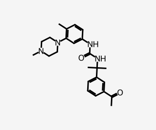 CC(=O)c1cccc(C(C)(C)NC(=O)Nc2ccc(C)c(N3CCN(C)CC3)c2)c1